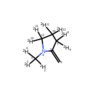 [2H]C([2H])([2H])N1C(=C)C([2H])([2H])C([2H])([2H])C1([2H])[2H]